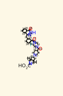 O=C(O)N1C[C@H]2CC(N3CCC(C(=O)N4CCN(C(=O)c5cc(Cc6n[nH]c(=O)c7ccccc67)ccc5F)CC4)CC3)C[C@@H]2C1